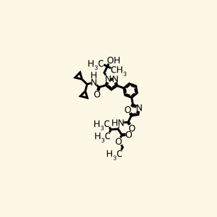 CCOC(=O)[C@@H](NC(=O)c1cnc(-c2cccc(-c3cc(C(=O)NC(C4CC4)C4CC4)n(CC(C)(C)O)n3)c2)o1)C(C)C